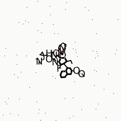 CCc1cc2c(N3CC4CCC(C3)N4C(=O)O)nc(OCC3(CN(C)C)CC3)nc2c(F)c1-c1cc(OCOC)cc2ccccc12